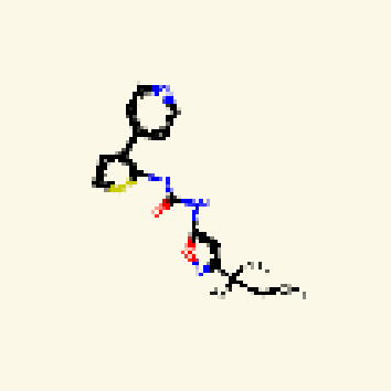 CCC(C)(C)c1cc(NC(=O)Nc2sccc2-c2ccncc2)on1